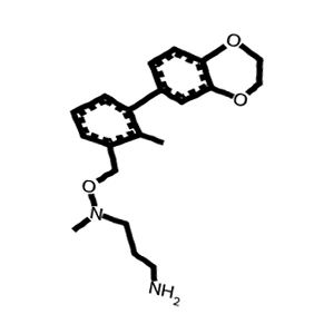 Cc1c(CON(C)CCCN)cccc1-c1ccc2c(c1)OCCO2